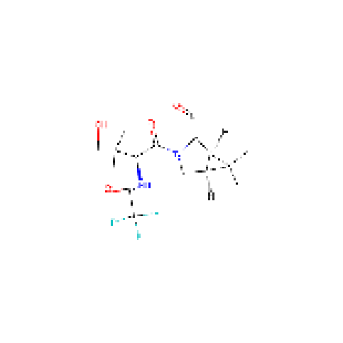 CC(C)(CO)[C@H](NC(=O)C(F)(F)F)C(=O)N1C[C@H]2[C@@H]([C@H]1C=O)C2(C)C